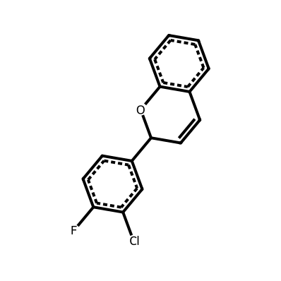 Fc1ccc(C2C=Cc3ccccc3O2)cc1Cl